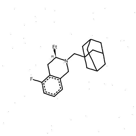 CC[C@@H]1Cc2c(F)cccc2CN1CC12CC3CC(CC(C3)C1)C2